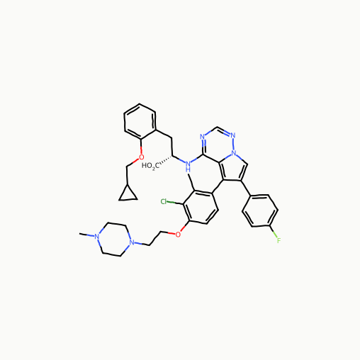 Cc1c(-c2c(-c3ccc(F)cc3)cn3ncnc(N[C@@H](Cc4ccccc4OCC4CC4)C(=O)O)c23)ccc(OCCN2CCN(C)CC2)c1Cl